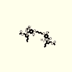 C/C=C/C1=CN(C(=O)c2cc(OC)c(OCCCCCOc3cc([N+](=O)[O-])c(C(=O)N4C=C(/C=C/C)CC4COC(C)=O)cc3OC)cc2N)C(COC(C)=O)C1